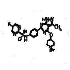 Cc1n[nH]c2nc(-c3ccc(NS(=O)(=O)c4ncc(F)cn4)cc3)nc(OC3CCN(C(C)C)CC3)c12